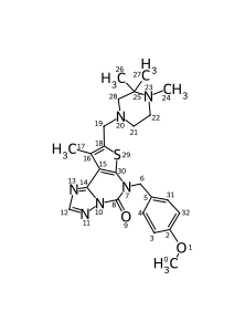 COc1ccc(Cn2c(=O)n3ncnc3c3c(C)c(CN4CCN(C)C(C)(C)C4)sc32)cc1